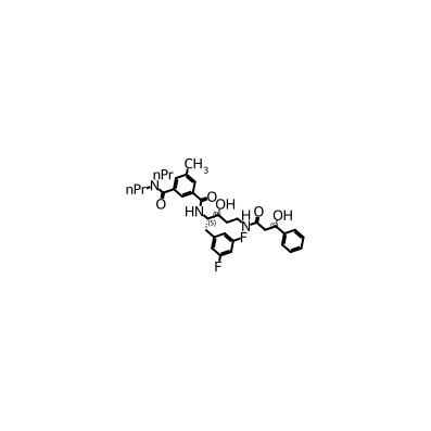 CCCN(CCC)C(=O)c1cc(C)cc(C(=O)N[C@@H](Cc2cc(F)cc(F)c2)[C@H](O)CCNC(=O)C[C@H](O)c2ccccc2)c1